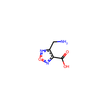 NCc1nonc1C(=O)O